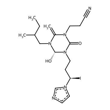 C=C1N(CCC#N)C(=O)N(CC[C@@H](I)n2ccnc2)[C@H](O)N1CC(C)CC